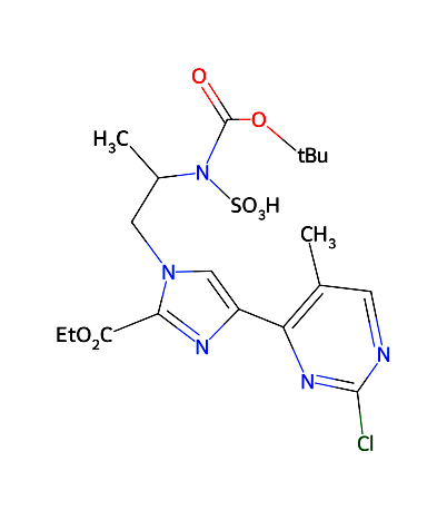 CCOC(=O)c1nc(-c2nc(Cl)ncc2C)cn1CC(C)N(C(=O)OC(C)(C)C)S(=O)(=O)O